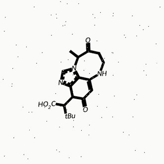 CC1C(=O)CCNC2=CC(=O)C(C(C(=O)O)C(C)(C)C)c3ncn1c32